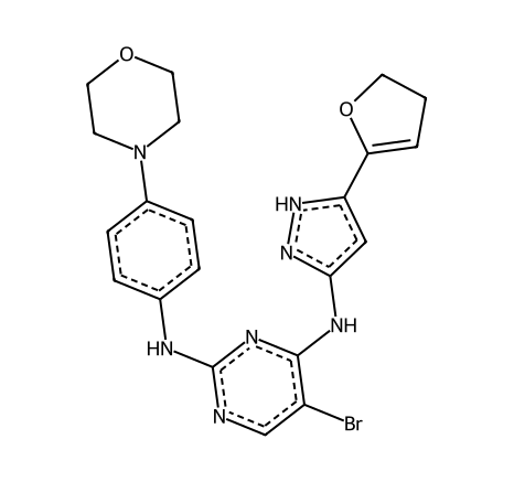 Brc1cnc(Nc2ccc(N3CCOCC3)cc2)nc1Nc1cc(C2=CCCO2)[nH]n1